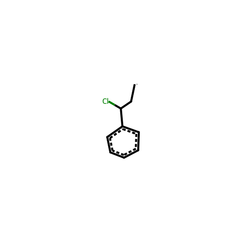 [CH2]CC(Cl)c1ccccc1